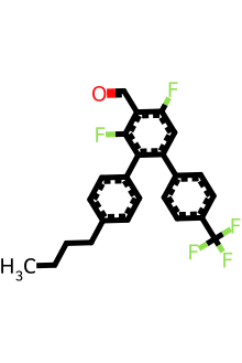 CCCCc1ccc(-c2c(-c3ccc(C(F)(F)F)cc3)cc(F)c(C=O)c2F)cc1